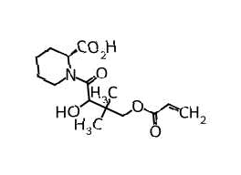 C=CC(=O)OCC(C)(C)C(O)C(=O)N1CCCC[C@H]1C(=O)O